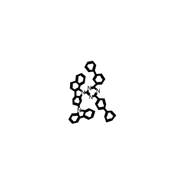 c1ccc(-c2ccc(-c3nc(-c4cccc(-c5ccccc5)c4)nc(-n4c5cc(-n6c7ccccc7c7ccccc76)ccc5c5ccc6ccccc6c54)n3)cc2)cc1